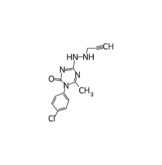 C#CCNNc1nc(C)n(-c2ccc(Cl)cc2)c(=O)n1